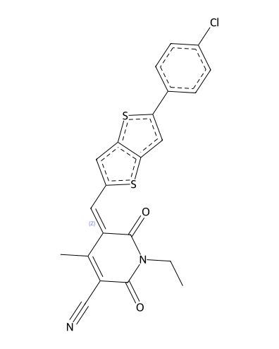 CCN1C(=O)C(C#N)=C(C)/C(=C/c2cc3sc(-c4ccc(Cl)cc4)cc3s2)C1=O